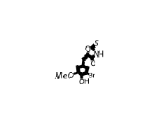 COc1cc(C=C2OC(=S)NC2=O)cc(Br)c1O